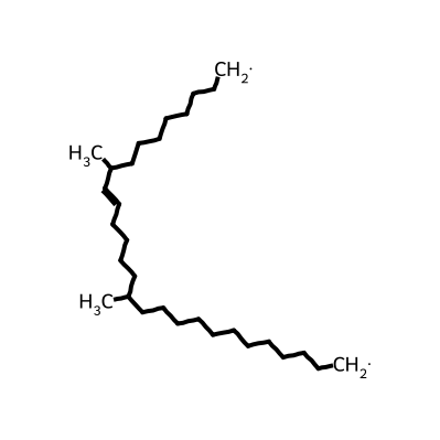 [CH2]CCCCCCCCCCCC(C)CCCCC=CC(C)CCCCCCC[CH2]